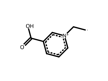 [CH2]C[n+]1cccc(C(=O)O)c1